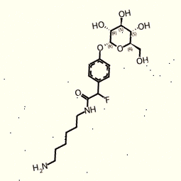 NCCCCCCNC(=O)C(F)c1ccc(O[C@H]2O[C@H](CO)[C@@H](O)[C@H](O)[C@H]2O)cc1